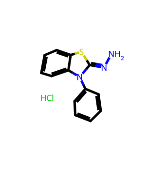 Cl.N/N=c1\sc2ccccc2n1-c1ccccc1